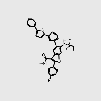 CCS(=O)(=O)Nc1cc2oc(-c3ccc(F)cc3)c(C(=O)NC)c2cc1-c1cccc(-c2cnc(-c3ccccc3)s2)c1